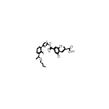 CCCCOC(C)c1cccc(-c2csc(NC(=O)c3cc(Cl)c(/C=C(\C)C(=O)O)c(Cl)c3)n2)c1F